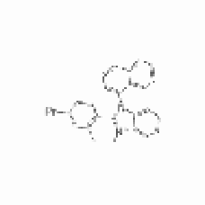 Cc1cc(C(C)C)ccc1-c1n(-c2cccc3ccccc23)c2ccccc2[n+]1C